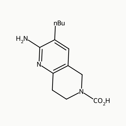 CCCCc1cc2c(nc1N)CCN(C(=O)O)C2